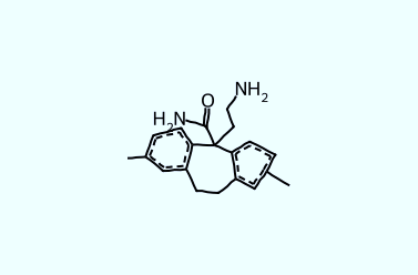 Cc1ccc2c(c1)CCc1cc(C)ccc1C2(CCN)C(N)=O